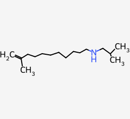 C=C(C)CCCCCCCCCNCC(C)C